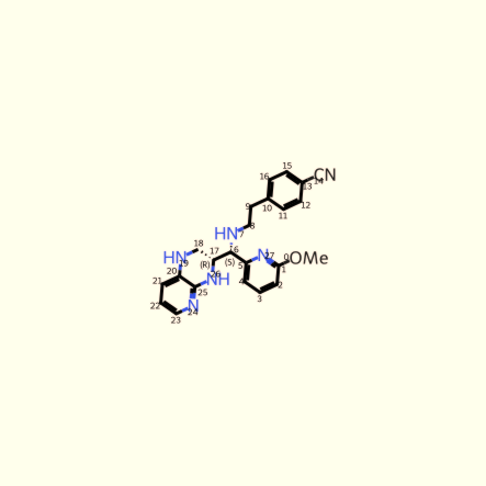 COc1cccc([C@@H](NCCc2ccc(C#N)cc2)[C@H]2CNc3cccnc3N2)n1